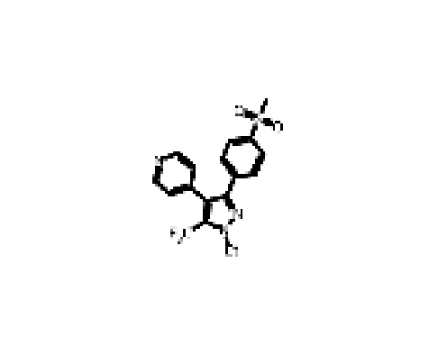 CCn1nc(-c2ccc(S(C)(=O)=O)cc2)c(-c2ccncc2)c1C(F)(F)F